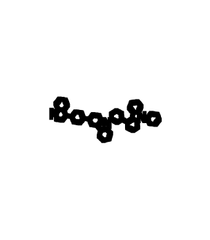 C1=CC[C@@H](n2c3ccccc3c3c(C4=CCCC(n5c6c(c7c5C=CC(C5=CCC(C8C=CN=C9C=CC=CC98)C=C5)C7)CCC=C6)=C4)cccc32)C=C1